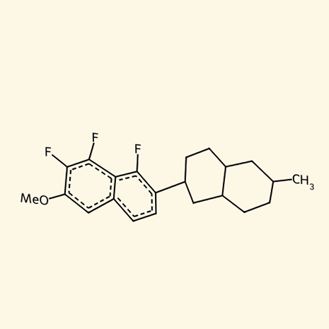 COc1cc2ccc(C3CCC4CC(C)CCC4C3)c(F)c2c(F)c1F